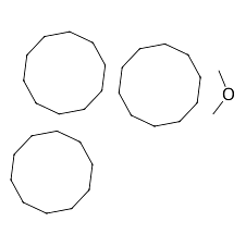 C1CCCCCCCCC1.C1CCCCCCCCC1.C1CCCCCCCCC1.COC